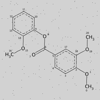 COc1ccc(C(=O)Oc2ccccc2OC)cc1OC